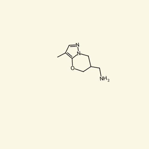 Cc1cnn2c1OCC(CN)C2